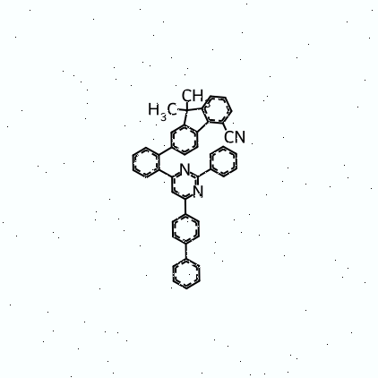 CC1(C)c2cc(-c3ccccc3-c3cc(-c4ccc(-c5ccccc5)cc4)nc(-c4ccccc4)n3)ccc2-c2c(C#N)cccc21